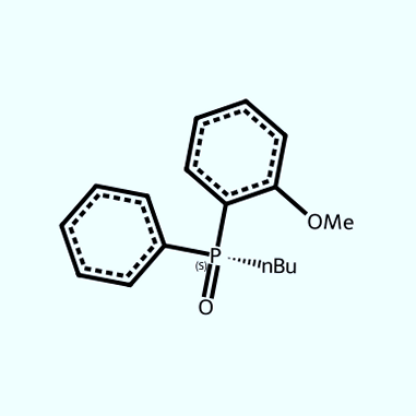 CCCC[P@](=O)(c1ccccc1)c1ccccc1OC